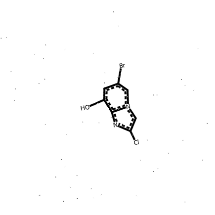 Oc1cc(Br)cn2cc(Cl)nc12